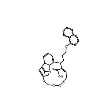 CC1=C2C=C3CN1C1C(=CC=CC21)C(CCCOc1cccc2ccccc12)/C(C(=O)O)=C/CCOCCO3